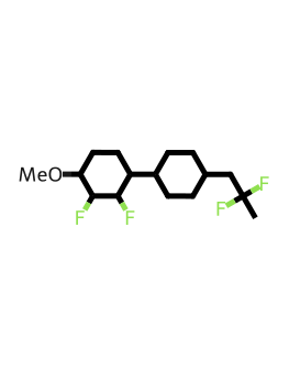 COC1CCC(C2CCC(CC(C)(F)F)CC2)C(F)C1F